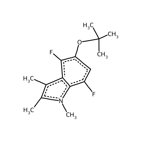 Cc1c(C)n(C)c2c(F)cc(OC(C)(C)C)c(F)c12